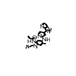 C=CC(=O)Nc1cc(Nc2cc(-c3nn(C)c4cccnc34)ccn2)c(C)cc1N(C)CCN(C)C